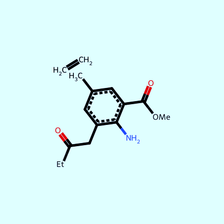 C=C.CCC(=O)Cc1cc(C)cc(C(=O)OC)c1N